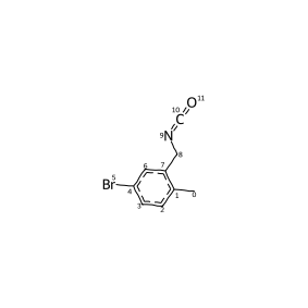 Cc1ccc(Br)cc1CN=C=O